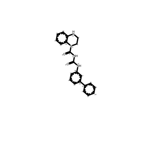 O=C(NC(=O)N1CCNc2c[c]ccc21)Nc1cccc(-c2ccccc2)c1